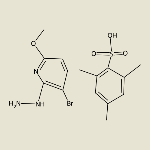 COc1ccc(Br)c(NN)n1.Cc1cc(C)c(S(=O)(=O)O)c(C)c1